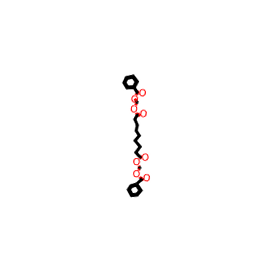 O=C(CCCCCCCC(=O)OCOC(=O)c1ccccc1)OCOC(=O)c1ccccc1